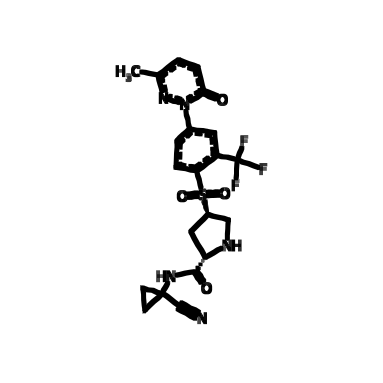 Cc1ccc(=O)n(-c2ccc(S(=O)(=O)[C@H]3CN[C@H](C(=O)NC4(C#N)CC4)C3)c(C(F)(F)F)c2)n1